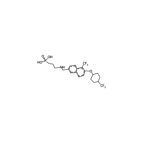 O=P(O)(O)CCCNCc1ccc2c(C(F)(F)F)c(OC3CCC(C(F)(F)F)CC3)ccc2c1